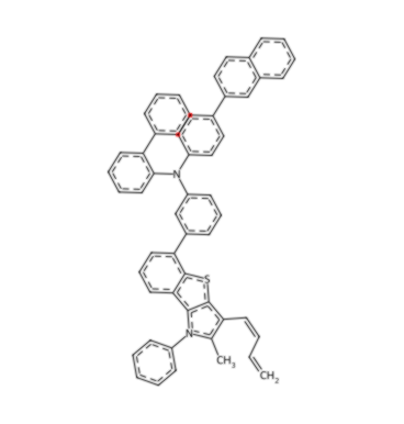 C=C/C=C\c1c(C)n(-c2ccccc2)c2c1sc1c(-c3cccc(N(c4ccc(-c5ccc6ccccc6c5)cc4)c4ccccc4-c4ccccc4)c3)cccc12